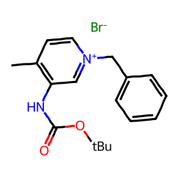 Cc1cc[n+](Cc2ccccc2)cc1NC(=O)OC(C)(C)C.[Br-]